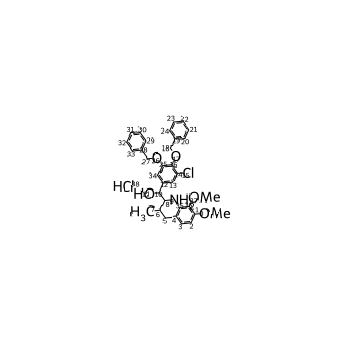 COc1ccc(CC(C)C(N)C(O)c2cc(Cl)c(OCc3ccccc3)c(OCc3ccccc3)c2)cc1OC.Cl